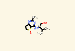 Cc1nc2c(c(N[C@@H](CO)C(C)C)n1)[S+]([O-])CC2